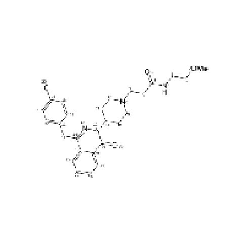 COCCNC(=O)CCN1CCC(n2nc(Cc3ccc(Cl)cc3)c3ccccc3c2=O)CC1